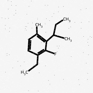 CCc1c[c]c(C)c(C(C)CC)c1F